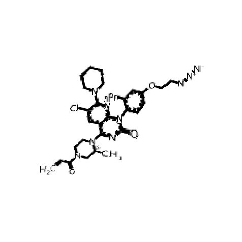 C=CC(=O)N1CCN(c2nc(=O)n(-c3ccc(OCCN=[N+]=[N-])cc3CCC)c3nc(N4CCCCC4)c(Cl)cc23)[C@@H](C)C1